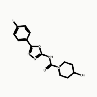 O=C(Nc1nnc(-c2ccc(F)cc2)o1)N1CCC(O)CC1